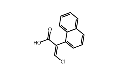 O=C(O)/C(=C/Cl)c1cccc2ccccc12